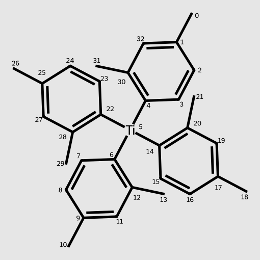 Cc1cc[c]([Ti]([c]2ccc(C)cc2C)([c]2ccc(C)cc2C)[c]2ccc(C)cc2C)c(C)c1